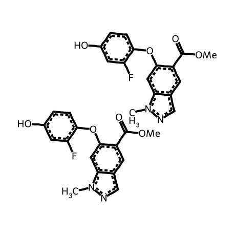 COC(=O)c1cc2cnn(C)c2cc1Oc1ccc(O)cc1F.COC(=O)c1cc2cnn(C)c2cc1Oc1ccc(O)cc1F